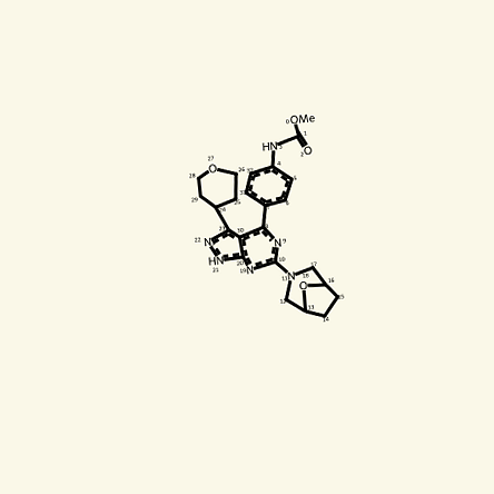 COC(=O)Nc1ccc(-c2nc(N3CC4CCC(C3)O4)nc3[nH]nc(C4CCOCC4)c23)cc1